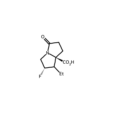 CCC1[C@H](F)CN2C(=O)CC[C@]12C(=O)O